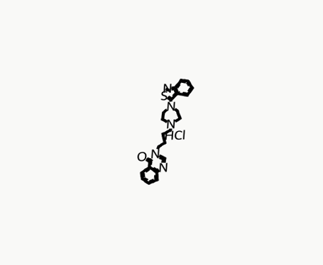 Cl.O=c1c2ccccc2ncn1CCCCN1CCN(c2snc3ccccc23)CC1